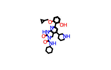 O=C1Nc2nc(-c3c(O)cccc3OCC3CC3)cc(C3CCCNC3)c2CN1C(=O)NC1CCCCC1